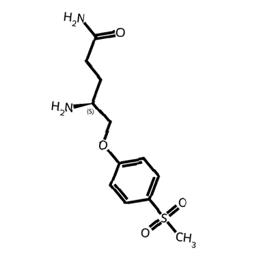 CS(=O)(=O)c1ccc(OC[C@@H](N)CCC(N)=O)cc1